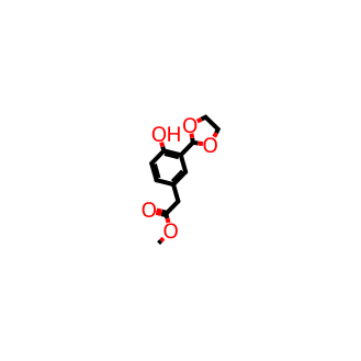 COC(=O)Cc1ccc(O)c(C2OCCO2)c1